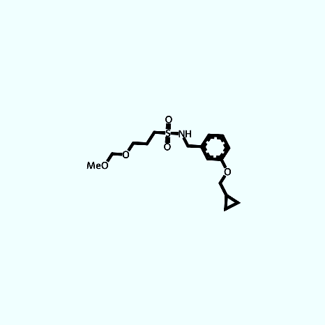 COCOCCCS(=O)(=O)NCc1cccc(OCC2CC2)c1